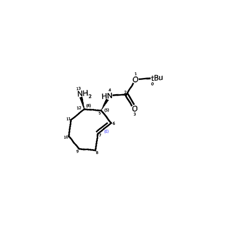 CC(C)(C)OC(=O)N[C@H]1/C=C/CCCC[C@H]1N